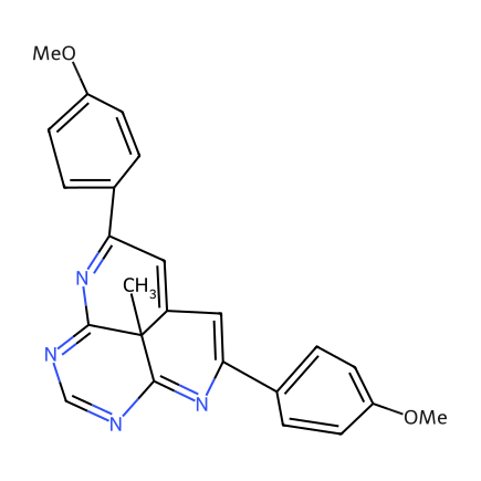 COc1ccc(C2=CC3=CC(c4ccc(OC)cc4)=NC4=NC=NC(=N2)C34C)cc1